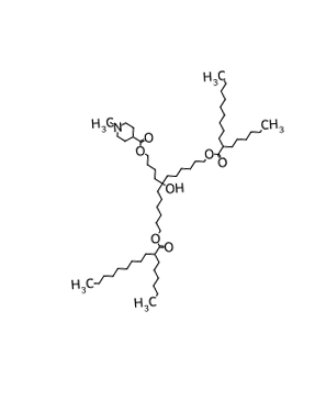 CCCCCCCCCC(CCCCCC)C(=O)OCCCCCCC(O)(CCCCCCOC(=O)C(CCCCCC)CCCCCCCCC)CCCCOC(=O)C1CCN(C)CC1